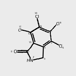 O=C1NCc2c(Cl)c(Cl)c(Cl)c(Cl)c21